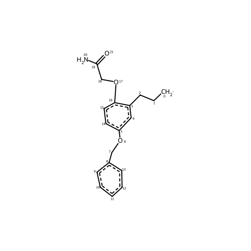 [CH2]CCc1cc(OCc2ccccc2)ccc1OCC(N)=O